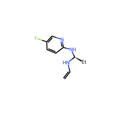 C=CN[C@H](CC)Nc1ccc(F)cn1